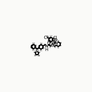 O=C(COCC1CCCCN1S(=O)(=O)c1c(Cl)cc(Cl)cc1Cl)NCC1CCC(C(c2ccccc2)N2CCCC2)CC1